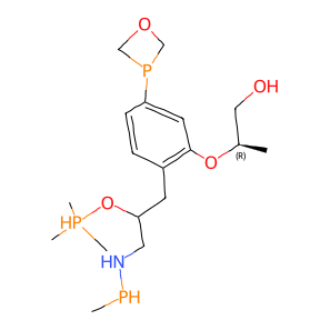 CPNCC(Cc1ccc(P2COC2)cc1O[C@H](C)CO)O[PH](C)(C)C